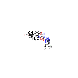 CN1C(=O)[C@@H](NC(=O)c2n[nH]c(Cc3ccccc3F)n2)COc2ccc(C#CC(C)(C)O)cc21